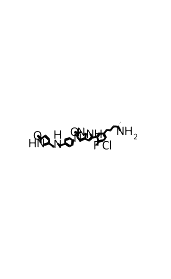 C[C@H](N)CCCc1cc(Cl)c(F)c(-c2cc3cn(-c4ccc(CNCc5ccc(=O)[nH]c5)cc4)c(=O)nc3[nH]2)c1